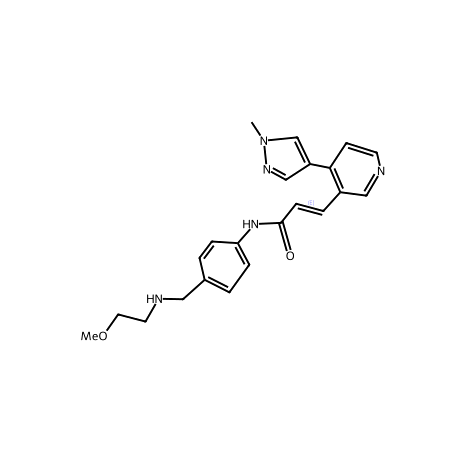 COCCNCc1ccc(NC(=O)/C=C/c2cnccc2-c2cnn(C)c2)cc1